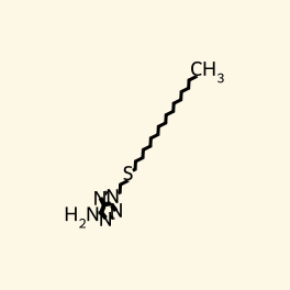 CCCCCCCCCCCCCCCCCCSCCCn1cnc2c(N)ncnc21